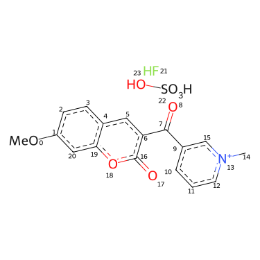 COc1ccc2cc(C(=O)c3ccc[n+](C)c3)c(=O)oc2c1.F.O=S(=O)(O)O